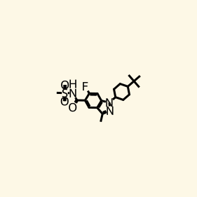 Cc1nn(C2CCC(C(C)(C)C)CC2)c2cc(F)c(C(=O)NS(C)(=O)=O)cc12